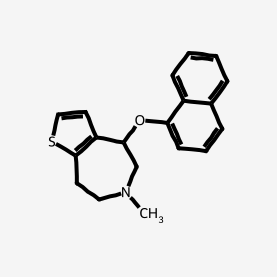 CN1CCc2sccc2C(Oc2cccc3ccccc23)C1